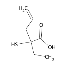 C=CCC(S)(CC)C(=O)O